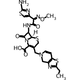 CCc1nc2c(s1)C=CN(CC1=C(C(=O)O)N3C(=O)C(NC(=O)/C(=N\OC)c4csc(N)n4)[C@H]3SC1)C2